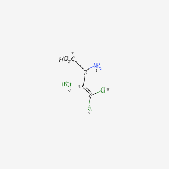 Cl.NC(C=C(Cl)Cl)C(=O)O